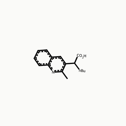 CCCCC(C(=O)O)c1cc2ccccc2nc1C